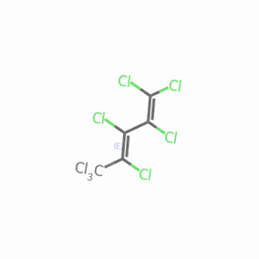 ClC(Cl)=C(Cl)/C(Cl)=C(\Cl)C(Cl)(Cl)Cl